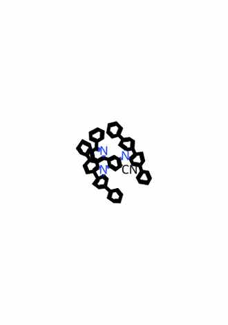 N#Cc1cc(-n2c3cc(-c4ccccc4)ccc3c3ccc(-c4ccccc4)cc32)c(-c2cccc(-c3ccccc3)n2)cc1-n1c2cc(-c3ccccc3)ccc2c2ccc(-c3ccccc3)cc21